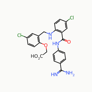 N=C(N)c1ccc(NC(=O)c2cc(Cl)ccc2NCc2cc(Cl)ccc2OCC(=O)O)cc1